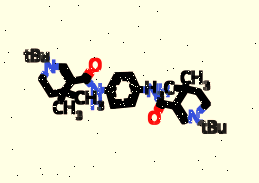 CC1(C)CCN(C(C)(C)C)C=C1C(=O)Nc1ccc(NC(=O)C2=CN(C(C)(C)C)CCC2(C)C)cc1